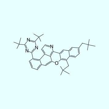 CC(C)(C)Cc1ccc2c(CC(C)(C)C)c3c(cc2c1)-c1nccc2c1c(cc1cccc(-c4nc(C(C)(C)C)nc(C(C)(C)C)n4)c12)O3